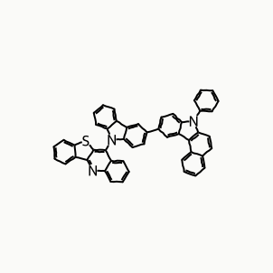 c1ccc(-n2c3ccc(-c4ccc5c(c4)c4ccccc4n5-c4c5ccccc5nc5c4sc4ccccc45)cc3c3c4ccccc4ccc32)cc1